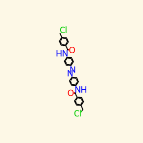 O=C(Nc1ccc(N=Nc2ccc(NC(=O)c3ccc(CCl)cc3)cc2)cc1)c1ccc(CCl)cc1